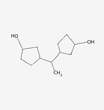 CC(C1CCC(O)C1)C1CCC(O)C1